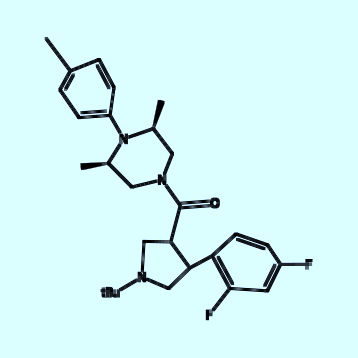 Cc1ccc(N2[C@H](C)CN(C(=O)C3CN(C(C)(C)C)CC3c3ccc(F)cc3F)C[C@@H]2C)cc1